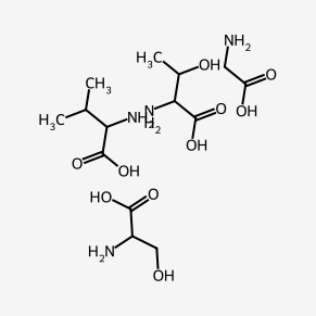 CC(C)C(N)C(=O)O.CC(O)C(N)C(=O)O.NC(CO)C(=O)O.NCC(=O)O